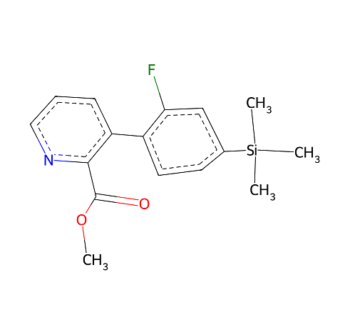 COC(=O)c1ncccc1-c1ccc([Si](C)(C)C)cc1F